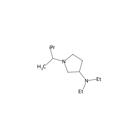 CCN(CC)C1CCN(C(C)C(C)C)C1